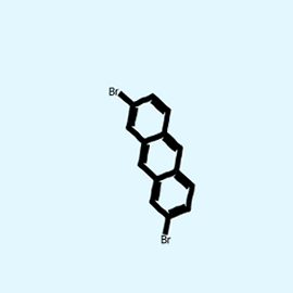 Brc1ccc2cc3ccc(Br)cc3cc2c1